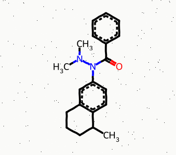 CC1CCCc2cc(N(C(=O)c3ccccc3)N(C)C)ccc21